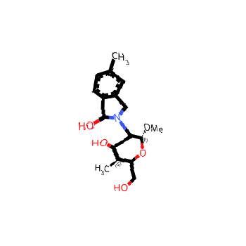 CO[C@@H]1OC(CO)[C@@H](C)C(O)C1N1Cc2cc(C)ccc2C1O